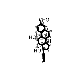 CC#C[C@]1(O)CC[C@H]2[C@@H]3CCc4cc(C=O)ccc4[C@H]3[C@@H](O)C[C@@]21C